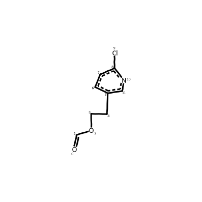 O=COCCc1ccc(Cl)nc1